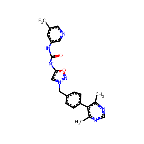 Cc1ncnc(C)c1-c1ccc(C[n+]2cc([N-]C(=O)Nc3cncc(C(F)(F)F)c3)on2)cc1